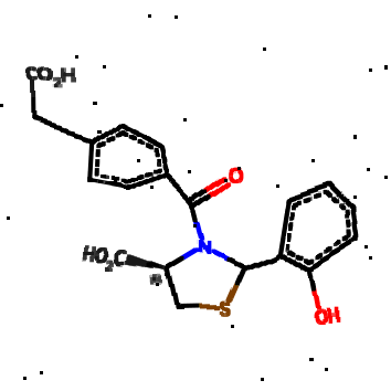 O=C(O)Cc1ccc(C(=O)N2C(c3ccccc3O)SC[C@H]2C(=O)O)cc1